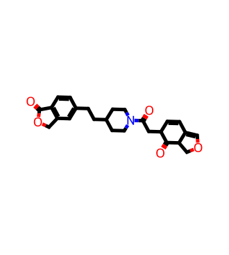 O=C1OCc2cc(CCC3CCN(C(=O)CC4C=CC5=COCC5C4=O)CC3)ccc21